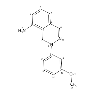 Nc1cccc2c1CN(c1cccc(OC(F)(F)F)c1)N=C2